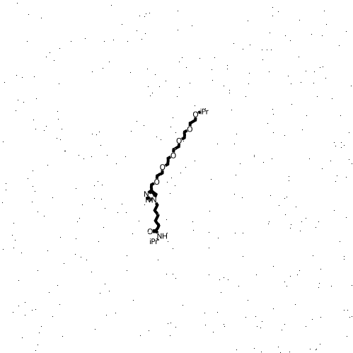 CC(C)NC(=O)CCCCCn1cc(COCCOCCOCCOCCOCCOC(C)C)nn1